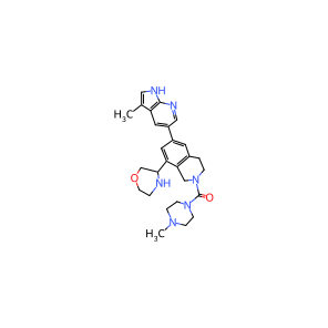 Cc1c[nH]c2ncc(-c3cc4c(c(C5COCCN5)c3)CN(C(=O)N3CCN(C)CC3)CC4)cc12